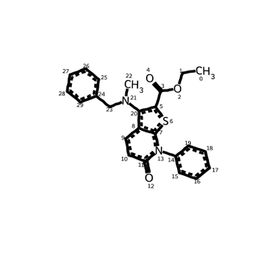 CCOC(=O)c1sc2c(ccc(=O)n2-c2ccccc2)c1N(C)Cc1ccccc1